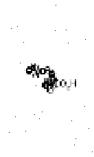 O=C(N[C@@H](Cc1ccc(OC2CCN(C(=O)c3onc4ccccc34)CC2)cc1)C(=O)O)c1c(Cl)cccc1Cl